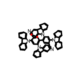 N#Cc1cc(-c2cc(C#N)c(-n3c4ccccc4c4ccccc43)cc2-n2c3ccccc3c3ccccc32)c(-n2c3ccccc3c3ccccc32)cc1-n1c2ccccc2c2ccccc21